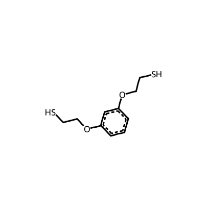 SCCOc1cccc(OCCS)c1